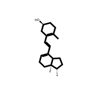 CC1=C(/C=C/C2=CCC[C@@]3(C)C2CC[C@@H]3C)C[C@@H](O)CC1